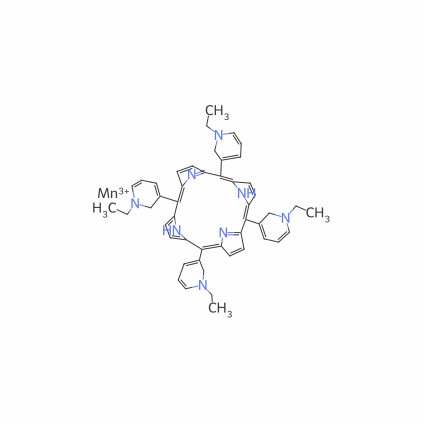 CCN1C=CC=C(c2c3nc(c(C4=CC=CN(CC)C4)c4ccc([nH]4)c(C4=CC=CN(CC)C4)c4nc(c(C5=CC=CN(CC)C5)c5ccc2[nH]5)C=C4)C=C3)C1.[Mn+3]